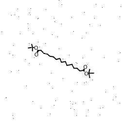 CC(C)(C)OC(=O)CCCCCCCCCCCCCCC(=O)OC(C)(C)C